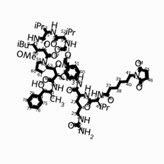 CC[C@H](C)[C@H](NC(=O)C(NC(=O)[C@@H](NC(=O)OCc1ccc(NC(=O)C(CCCNC(N)=O)NC(=O)[C@@H](NC(=O)CCCCCN2C(=O)C=CC2=O)C(C)C)cc1)C(C)C)C(C)C)[C@@H](CC(=O)N1CCC[C@H]1[C@H](OC)[C@@H](C)C(=O)N[C@H](C)[C@@H](O)c1ccccc1)OC